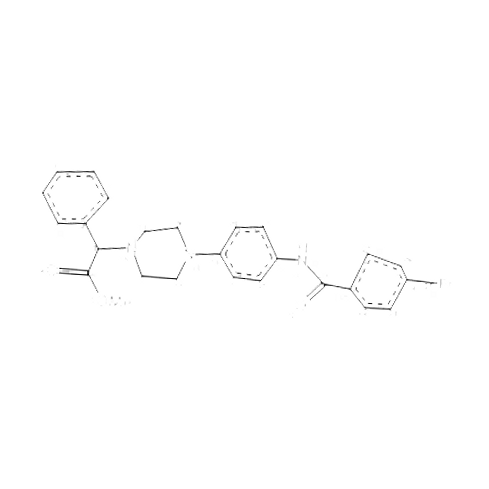 COC(=O)C(c1ccccc1)N1CCN(c2ccc(NC(=O)c3ccc(C(C)C)cc3)cc2)CC1